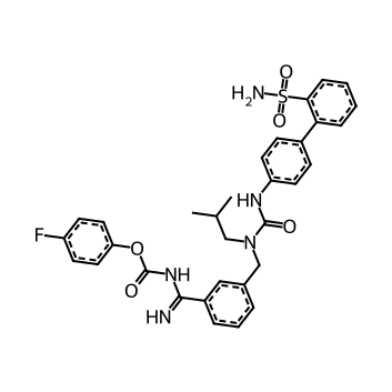 CC(C)CN(Cc1cccc(C(=N)NC(=O)Oc2ccc(F)cc2)c1)C(=O)Nc1ccc(-c2ccccc2S(N)(=O)=O)cc1